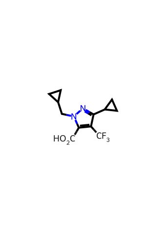 O=C(O)c1c(C(F)(F)F)c(C2CC2)nn1CC1CC1